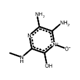 CNc1nc(N)c(N)[n+]([O-])c1O